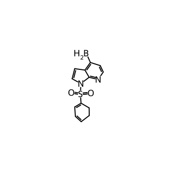 Bc1ccnc2c1ccn2S(=O)(=O)C1=CC=CCC1